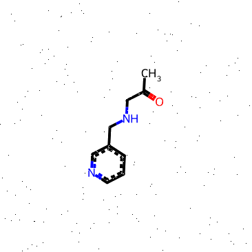 CC(=O)CNCc1cccnc1